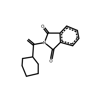 C=C(C1CCCCC1)N1C(=O)c2ccccc2C1=O